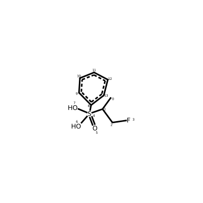 CC(CF)S(=O)(O)(O)c1ccccc1